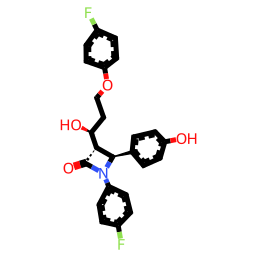 O=C1[C@H]([C@@H](O)CCOc2ccc(F)cc2)[C@@H](c2ccc(O)cc2)N1c1ccc(F)cc1